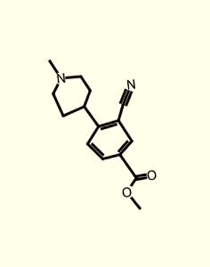 COC(=O)c1ccc(C2CCN(C)CC2)c(C#N)c1